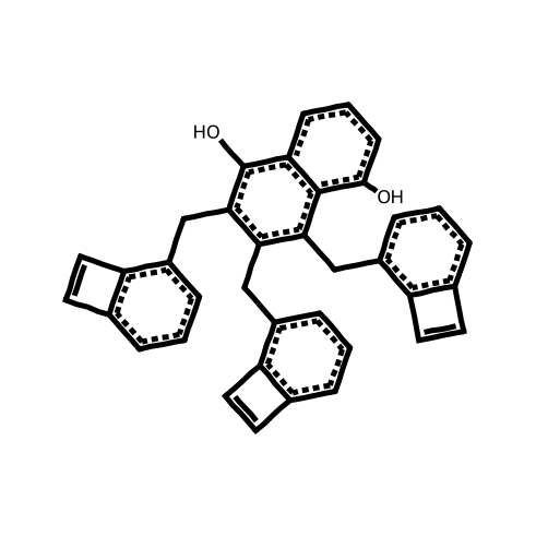 Oc1c(Cc2cccc3c2C=C3)c(Cc2cccc3c2C=C3)c(Cc2cccc3c2C=C3)c2c(O)cccc12